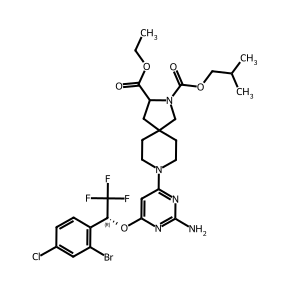 CCOC(=O)C1CC2(CCN(c3cc(O[C@H](c4ccc(Cl)cc4Br)C(F)(F)F)nc(N)n3)CC2)CN1C(=O)OCC(C)C